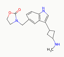 CNC1CC(c2c[nH]c3ccc(CN4CCOC4=O)cc23)C1